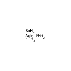 [Ag].[InH3].[PbH2].[SnH4]